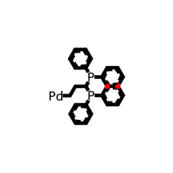 [Pd][CH2]CC(P(c1ccccc1)c1ccccc1)P(c1ccccc1)c1ccccc1